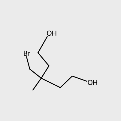 CC(CBr)(CCO)CCO